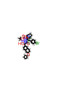 CC(C)(C)OC(=O)NC1CC2CCC(C1)N2C(=O)C(NC(=O)C(O)c1ccc2cc(OC3CCCC3)ccc2c1)C(F)(F)c1ccc(Br)cc1